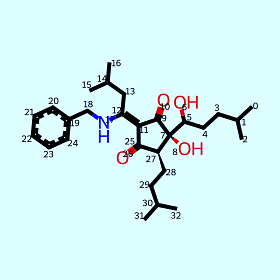 CC(C)CCC(O)[C@@]1(O)C(=O)/C(=C(\CC(C)C)NCc2ccccc2)C(=O)[C@@H]1CCC(C)C